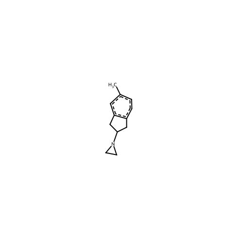 Cc1ccc2c(c1)CC(N1CC1)C2